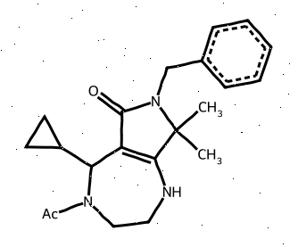 CC(=O)N1CCNC2=C(C(=O)N(Cc3ccccc3)C2(C)C)C1C1CC1